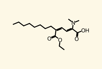 CCCCCCCCC(=CC=C(C(=O)O)N(C)C)C(=O)OCC